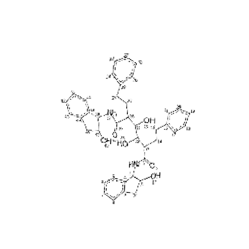 O=C(NC1c2ccccc2CC1O)C(CCc1ccccc1)C(O)C(O)C(CCc1ccccc1)C(=O)NC1c2ccccc2CC1O